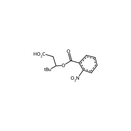 CC(C)(C)C(CC(=O)O)OC(=O)c1ccccc1[N+](=O)[O-]